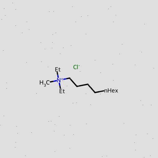 CCCCCCCCCC[N+](C)(CC)CC.[Cl-]